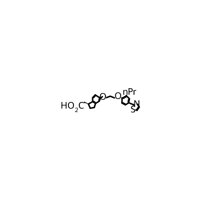 CCCc1cc(-c2nccs2)ccc1OCCCOc1ccc2c(c1)CC[C@H]2CC(=O)O